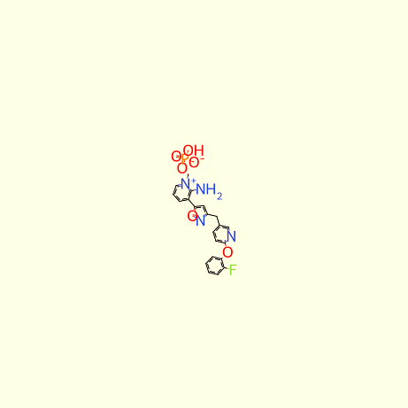 Nc1c(-c2cc(Cc3ccc(Oc4ccccc4F)nc3)no2)ccc[n+]1COP(=O)([O-])O